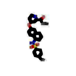 CNC(=O)c1cc(Oc2ccc3c(NS(=O)(=O)C4C=CC(C(C)C)=CC4)cccc3c2)ccn1